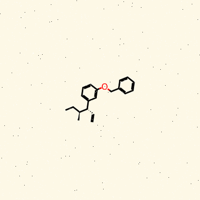 C=C[C@@H](c1cccc(OCc2ccccc2)c1)[C@@H](C)CC